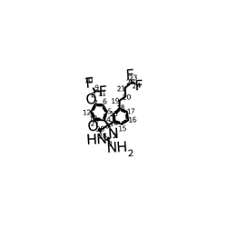 NC1=NC(c2ccc(OC(F)F)cc2)(c2cccc(CCCC(F)F)c2)C(=O)N1